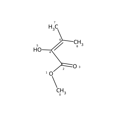 COC(=O)C(O)=C(C)C